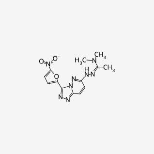 CC(=NNc1ccc2nnc(-c3ccc([N+](=O)[O-])o3)n2n1)N(C)C